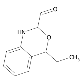 CCC1OC(C=O)Nc2ccccc21